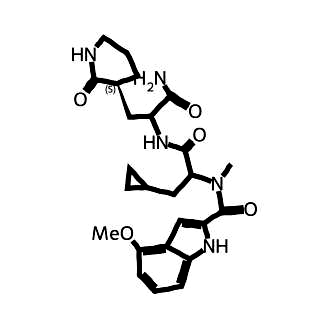 COc1cccc2[nH]c(C(=O)N(C)C(CC3CC3)C(=O)NC(C[C@@H]3CCCNC3=O)C(N)=O)cc12